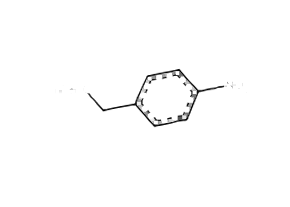 CCCCCCc1ccc([N+](=O)[O-])cc1